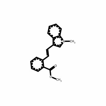 COC(=O)c1ccccc1C=Cc1cn(C)c2ccccc12